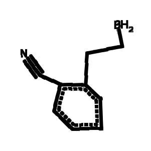 BCCc1ccccc1C#N